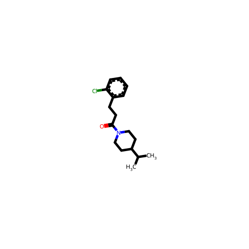 CC(C)C1CCN(C(=O)CCc2ccccc2Cl)CC1